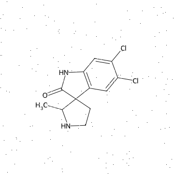 CC1NCCC12C(=O)Nc1cc(Cl)c(Cl)cc12